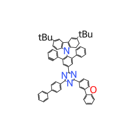 CC(C)(C)C1=Cc2c(n(-c3c(-c4c#cccc4)cc(-c4nc(-c5ccc(-c6ccccc6)cc5)nc(-c5ccc6oc7ccccc7c6c5)n4)cc3-c3ccccc3)c3ccc(C(C)(C)C)cc23)CC1